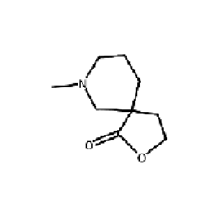 CN1CCCC2(CCOC2=O)C1